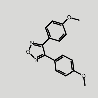 COc1ccc(-c2nonc2-c2ccc(OC)cc2)cc1